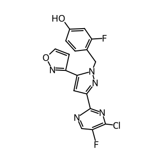 Oc1ccc(Cn2nc(-c3ncc(F)c(Cl)n3)cc2-c2ccon2)c(F)c1